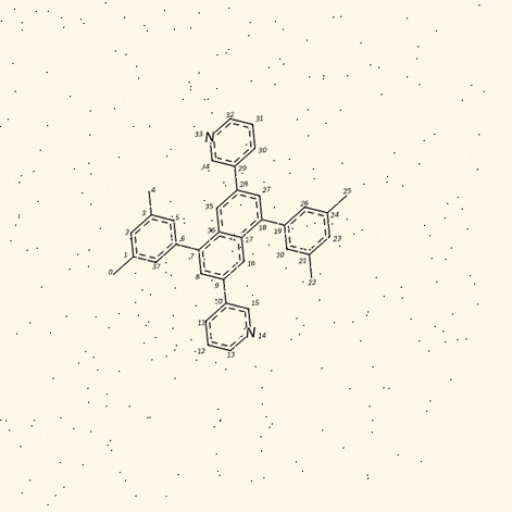 Cc1cc(C)cc(-c2cc(-c3cccnc3)cc3c(-c4cc(C)cc(C)c4)cc(-c4cccnc4)cc23)c1